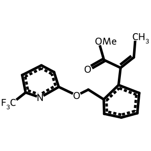 CC=C(C(=O)OC)c1ccccc1COc1cccc(C(F)(F)F)n1